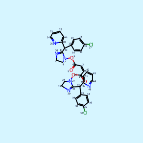 O=C(/C=C\C(=O)ON1CCN=C1C(c1ccc(Cl)cc1)c1ccccn1)ON1CCN=C1C(c1ccc(Cl)cc1)c1ccccn1